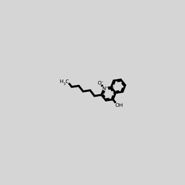 CCCCCCc1cc(O)c2ccccc2[n+]1[O-]